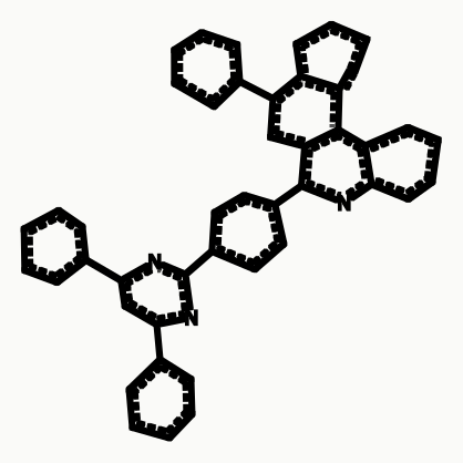 c1ccc(-c2cc(-c3ccccc3)nc(-c3ccc(-c4nc5ccccc5c5c4cc(-c4ccccc4)c4ccccc45)cc3)n2)cc1